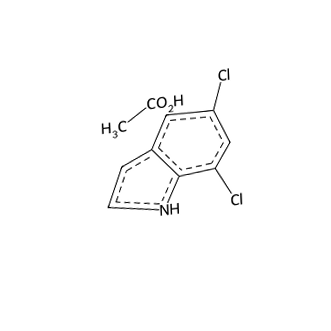 CC(=O)O.Clc1cc(Cl)c2[nH]ccc2c1